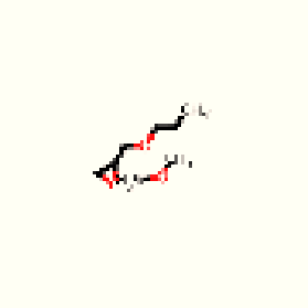 CO[SiH3].[CH2]CCOCC1CO1